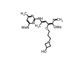 C=N/C(OC)=C(\C=C(/C)Nc1nc(C)cc(NC)n1)OCCCN1CC(O)C1